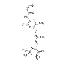 CC/C=C\C(=O)N[C@@H]1C[C@H](C)[C@H](C/C=C(C)/C=C/[C@H]2OC(C)(C)C[C@@]3(CO3)[C@@H]2O)O[C@@H]1C